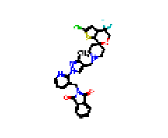 Cc1nn(-c2ncccc2CN2C(=O)c3ccccc3C2=O)cc1CN1CCC2(CC1)OCC(F)(F)C1C=C(Cl)SC12